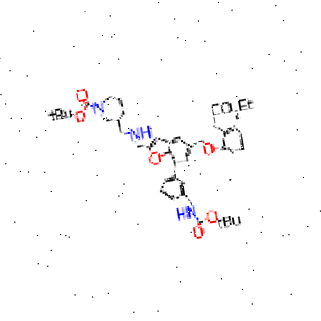 CCOC(=O)Cc1ccccc1OCc1cc(-c2cccc(CNC(=O)OC(C)(C)C)c2)c2oc(CNCC3CCCN(C(=O)OC(C)(C)C)C3)cc2c1